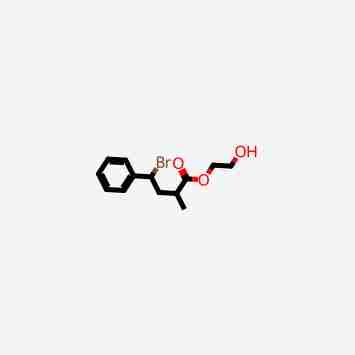 CC(CC(Br)c1ccccc1)C(=O)OCCO